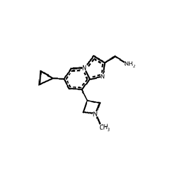 CN1CC(c2cc(C3CC3)cn3cc(CN)nc23)C1